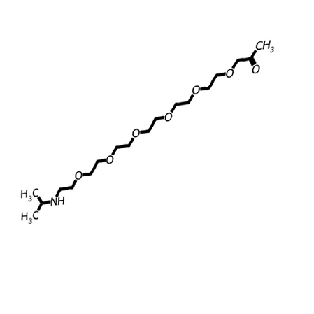 CC(=O)COCCOCCOCCOCCOCCOCCNC(C)C